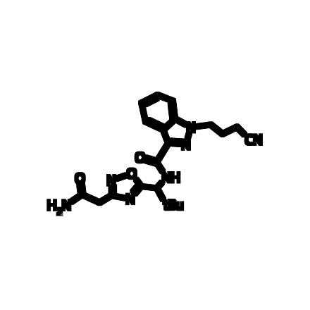 CC(C)(C)C(NC(=O)c1nn(CCCC#N)c2ccccc12)c1nc(CC(N)=O)no1